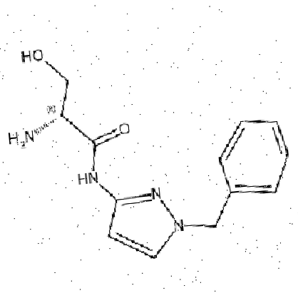 N[C@H](CO)C(=O)Nc1ccn(Cc2ccccc2)n1